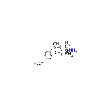 C=Cc1ccc(C[Si](C)(C)CC[Si](C)(C)N)cc1